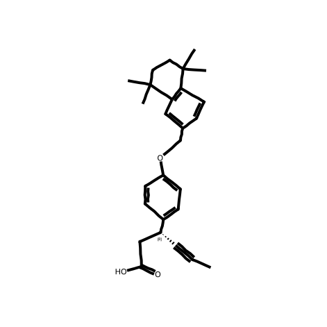 CC#C[C@H](CC(=O)O)c1ccc(OCc2ccc3c(c2)C(C)(C)CCC3(C)C)cc1